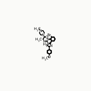 COc1ccc(-c2nc3c4cccc(Br)c4nc(N[C@H](C)C(=O)N4CCN(C)CC4)n3n2)cc1